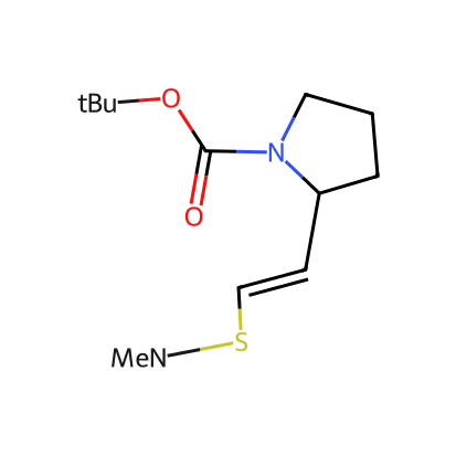 CNS/C=C/C1CCCN1C(=O)OC(C)(C)C